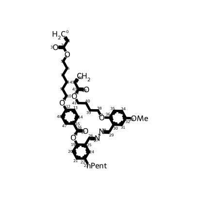 C=CC(=O)OCCCCCCOc1ccc(C(=O)Oc2ccc(CCCCC)cc2/C=N/N=C/c2cc(OC)ccc2OCCCCOC(=O)C=C)cc1